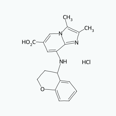 Cc1nc2c(NC3CCOc4ccccc43)cc(C(=O)O)cn2c1C.Cl